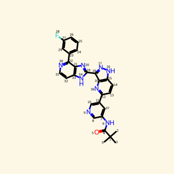 CC(C)(C)C(=O)Nc1cncc(-c2ccc3[nH]nc(-c4nc5c(-c6cccc(F)c6)nccc5[nH]4)c3n2)c1